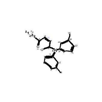 Cc1cccc(N(C(=O)/C=C\C(N)=O)c2cccc(C)c2)c1